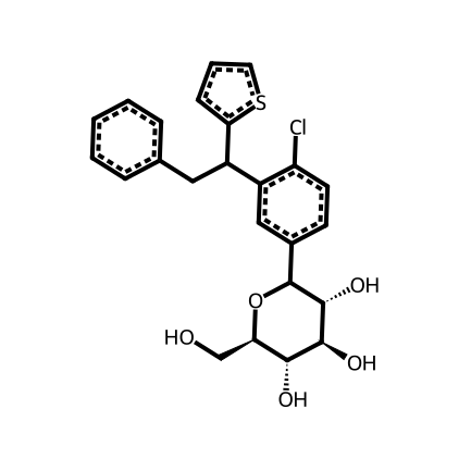 OC[C@H]1OC(c2ccc(Cl)c(C(Cc3ccccc3)c3cccs3)c2)[C@H](O)[C@@H](O)[C@@H]1O